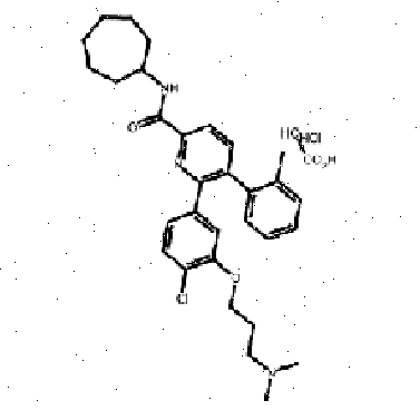 Cc1ccccc1-c1ccc(C(=O)NC2CCCCCC2)nc1-c1ccc(Cl)c(OCCCN(C)C)c1.Cl.O=C(O)O